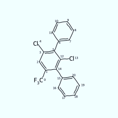 FC(F)(F)c1cc(Cl)c(-c2ccccc2)c(Cl)c1-c1[c]cccc1